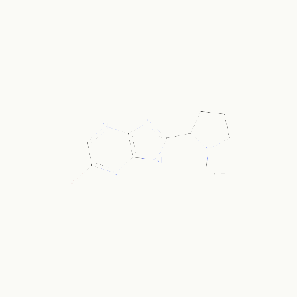 O=C(O)N1CCCC1c1nc2ncc(Br)nc2[nH]1